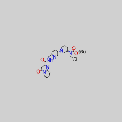 CC(C)(C)OC(=O)N(CC1CCC1)[C@@H]1CCCN(c2ccc(CNC(=O)c3cc(=O)n4ccccc4n3)nc2)C1